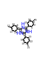 Cc1ccc(B2NB(c3ccc(C)cc3)NB(c3ccc(C)cc3)N2)cc1